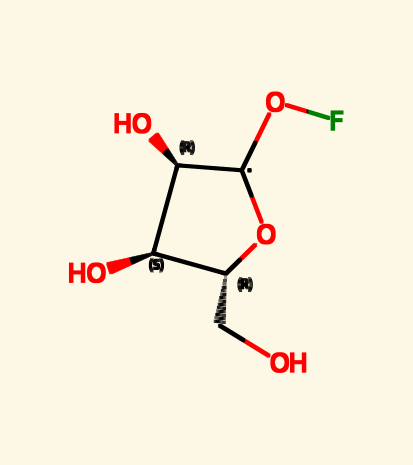 OC[C@H]1O[C](OF)[C@H](O)[C@@H]1O